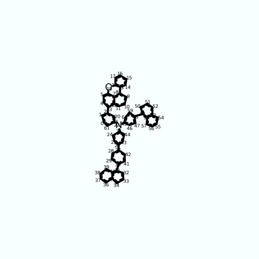 c1cc(-c2ccc3c4c(cccc24)-c2ccccc2O3)cc(N(c2ccc(-c3ccc(-c4cccc5ccccc45)cc3)cc2)c2ccc(-c3cccc4ccccc34)cc2)c1